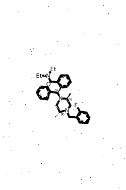 CCN(CC)C(=O)c1ccccc1[C@H](c1ccccc1)N1C[C@@H](C)N(Cc2ccccc2F)C[C@@H]1C